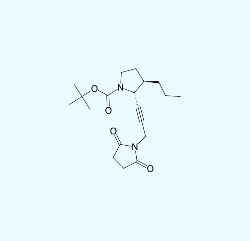 CCC[C@@H]1CCN(C(=O)OC(C)(C)C)[C@H]1C#CCN1C(=O)CCC1=O